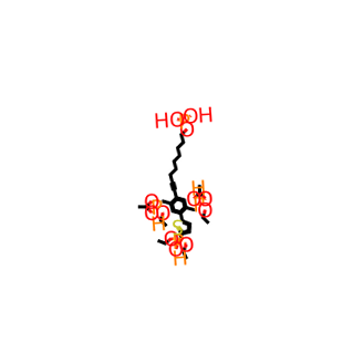 CCO[PH]1(Cc2cc(-c3ccc([PH]4(OCC)OC(C)O4)s3)c(C[PH]3(OCC)OC(C)O3)cc2C#CCCCCCCCOP(O)O)OC(C)O1